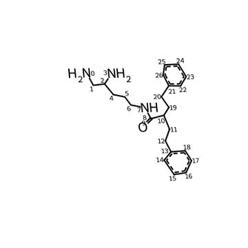 NCC(N)CCCNC(=O)C(CCc1ccccc1)CCc1ccccc1